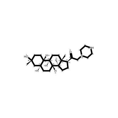 C[C@@]1(O)CC[C@H]2[C@@H](CC[C@@H]3[C@@H]2CC[C@]2(C)[C@@H](C(=O)CN4CCNCC4)CC[C@@H]32)C1